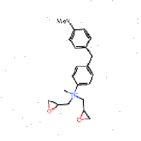 CNc1ccc(Cc2ccc([N+](C)(CC3CO3)CC3CO3)cc2)cc1